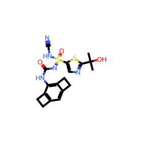 CC(C)(O)c1ncc(S(=O)(=NC(=O)Nc2c3c(cc4c2CC4)CC3)NC#N)s1